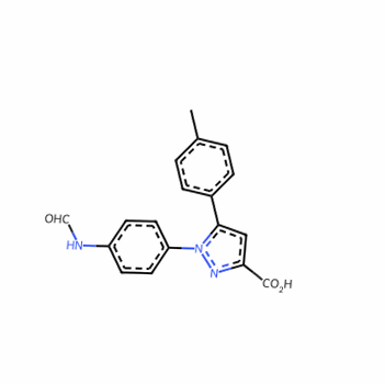 Cc1ccc(-c2cc(C(=O)O)nn2-c2ccc(NC=O)cc2)cc1